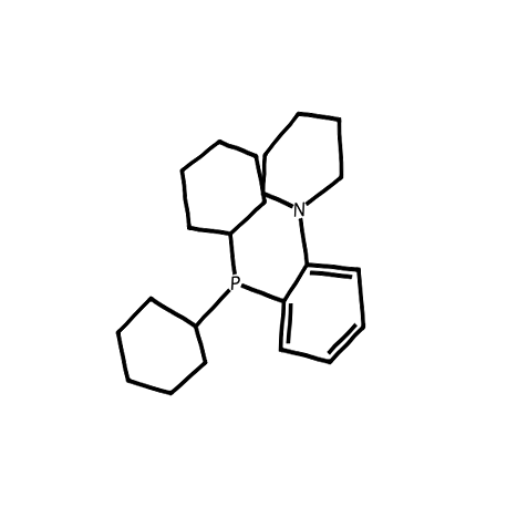 c1ccc(P(C2CCCCC2)C2CCCCC2)c(N2CCCCC2)c1